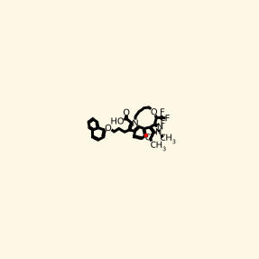 CCc1c2c(nn1C)C(C(F)(F)F)OCCCCn1c(C(=O)O)c(CCCOc3cccc4ccccc34)c3ccc(Cl)c-2c31